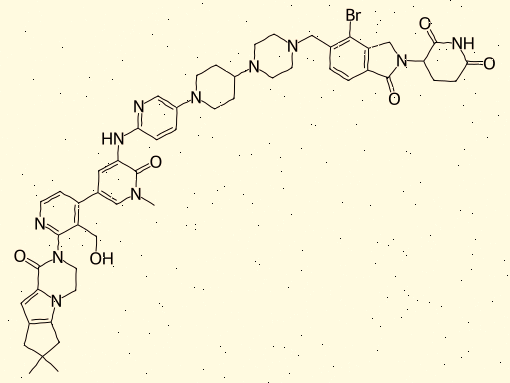 Cn1cc(-c2ccnc(N3CCn4c(cc5c4CC(C)(C)C5)C3=O)c2CO)cc(Nc2ccc(N3CCC(N4CCN(Cc5ccc6c(c5Br)CN(C5CCC(=O)NC5=O)C6=O)CC4)CC3)cn2)c1=O